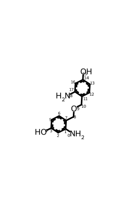 Nc1cc(O)ccc1COCc1ccc(O)cc1N